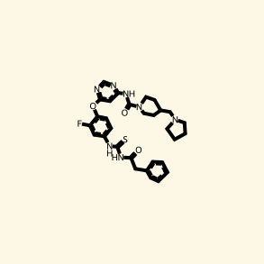 O=C(Cc1ccccc1)NC(=S)Nc1ccc(Oc2cc(NC(=O)N3CCC(CN4CCCC4)CC3)ncn2)c(F)c1